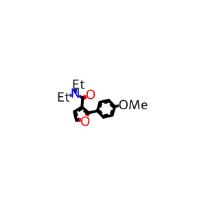 CCN(CC)C(=O)c1ccoc1-c1ccc(OC)cc1